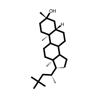 C[C@H](CC(C)(C)C)[C@H]1CCC2C3CC[C@H]4C[C@@](C)(O)CC[C@]4(C)C3CC[C@@]21C